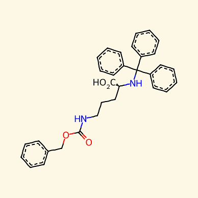 O=C(NCCC[C@H](NC(c1ccccc1)(c1ccccc1)c1ccccc1)C(=O)O)OCc1ccccc1